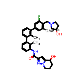 COc1cc(-c2cccc(-c3cccc(NC(=O)c4cc5n(n4)CCCC5O)c3C)c2C)cc(F)c1CN1CC[C@@H](O)C1